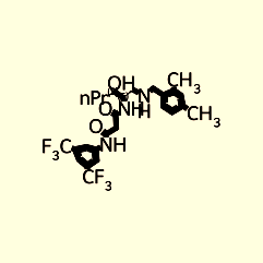 CCC[C@H](O)[C@H](CNCc1ccc(C)cc1C)NC(=O)CC(=O)Nc1cc(C(F)(F)F)cc(C(F)(F)F)c1